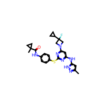 Cc1cc(Nc2cc(N3CC(F)(C4CC4)C3)nc(Sc3ccc(NC(=O)C4(C)CC4)cc3)n2)[nH]n1